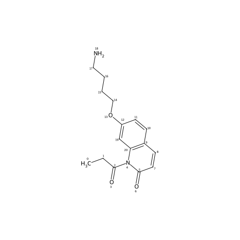 CCC(=O)n1c(=O)ccc2ccc(OCCCCN)cc21